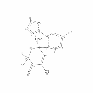 CO[C@]1(c2ncc(F)cc2-c2ccns2)C=C(C#N)C(=O)C(C)(C)C1